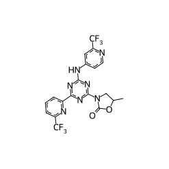 CC1CN(c2nc(Nc3ccnc(C(F)(F)F)c3)nc(-c3cccc(C(F)(F)F)n3)n2)C(=O)O1